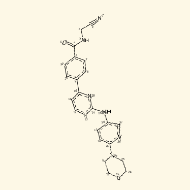 N#CCNC(=O)c1ccc(-c2ccnc(Nc3ccc(N4CCOCC4)nc3)n2)cc1